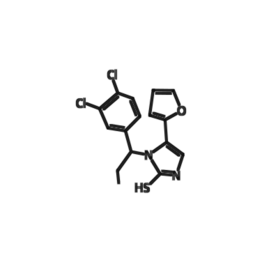 CCC(c1ccc(Cl)c(Cl)c1)n1c(-c2ccco2)cnc1S